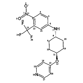 O=[N+]([O-])c1ccc(N[C@H]2CC[C@H](Oc3ccncc3)CC2)cc1C(F)(F)F